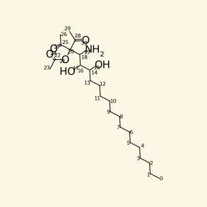 CCCCCCCCCCCCCCC(O)C(O)C(N)C(OC(C)=O)(C(C)=O)C(C)=O